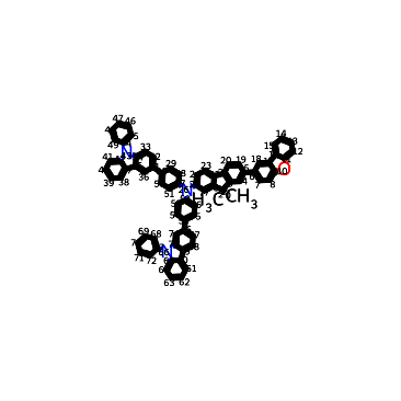 CC1(C)c2cc(-c3ccc4oc5ccccc5c4c3)ccc2-c2ccc(N(c3ccc(-c4ccc5c(c4)c4ccccc4n5-c4ccccc4)cc3)c3ccc(-c4ccc5c6ccccc6n(-c6ccccc6)c5c4)cc3)cc21